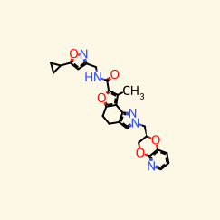 Cc1c(C(=O)NCc2cc(C3CC3)on2)oc2c1-c1nn(C[C@@H]3COc4ncccc4O3)cc1CC2